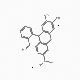 CCN(CC)c1ccc2c(c1)Cc1cc(O)c(C=O)cc1C2c1ccccc1CO